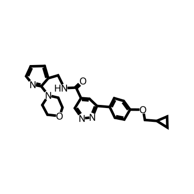 O=C(NCc1cccnc1N1CCOCC1)c1cnnc(-c2ccc(OCC3CC3)cc2)c1